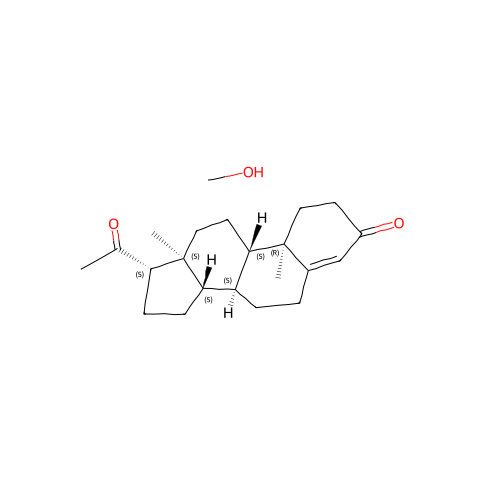 CC(=O)[C@H]1CC[C@H]2[C@@H]3CCC4=CC(=O)CC[C@]4(C)[C@H]3CC[C@]12C.CO